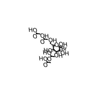 CC(=O)O.CC(=O)O.CC(=O)O.CC(=O)O.OC[C@H]1O[C@@](O)(Br)[C@H](O)[C@@H](O)[C@@H]1O